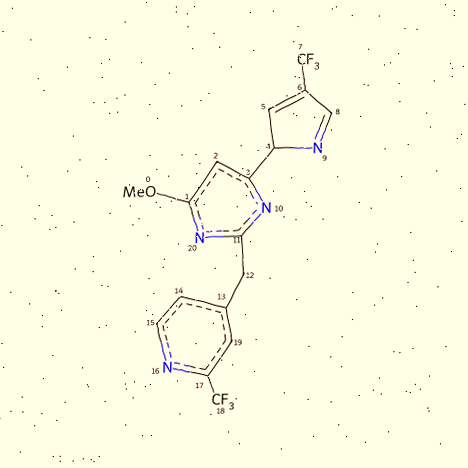 COc1cc(C2C=C(C(F)(F)F)C=N2)nc(Cc2ccnc(C(F)(F)F)c2)n1